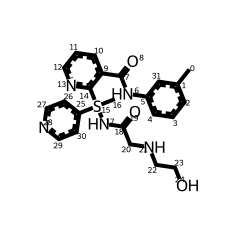 Cc1cccc(NC(=O)c2cccnc2S(C)(NC(=O)CNCCO)c2ccncc2)c1